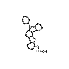 OBOc1cccc2c1sc1c2ccc2c1c1ccccc1n2-c1ccccc1